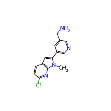 Cn1c(-c2cncc(CN)c2)cc2ccc(Cl)nc21